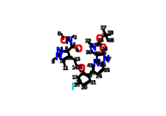 CON(C)C(=O)c1nn(C)c(C)c1CCOc1cc(F)ccc1-c1ccc2ncc(CN(C)C(=O)OC(C)(C)C)n2c1